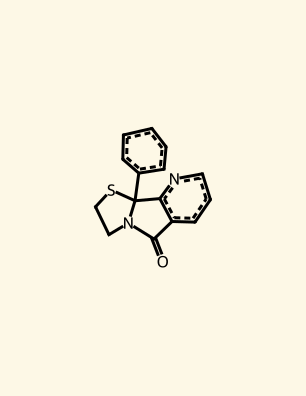 O=C1c2cccnc2C2(c3ccccc3)SCCN12